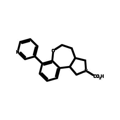 O=C(O)N1CC2CCOc3c(-c4cccnc4)cccc3C2C1